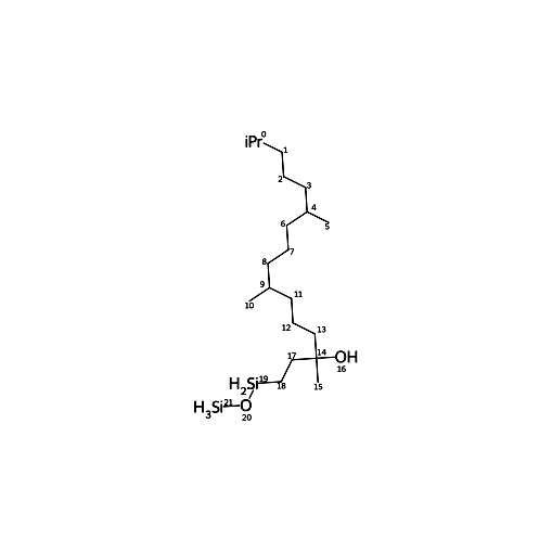 CC(C)CCCC(C)CCCC(C)CCCC(C)(O)CC[SiH2]O[SiH3]